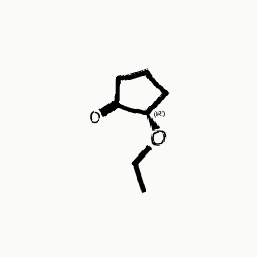 CCO[C@@H]1CCCC1=O